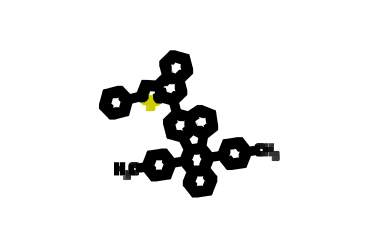 Cc1ccc(-c2c3c(c(-c4ccc(C)cc4)c4ccccc24)-c2ccc(-c4cc5ccccc5c5cc(-c6ccccc6)sc45)c4cccc-3c24)cc1